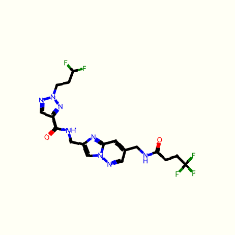 O=C(CCC(F)(F)F)NCc1cnn2cc(CNC(=O)c3cnn(CCC(F)F)n3)nc2c1